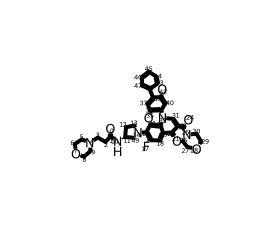 O=C(CCN1CCOCC1)N[C@@H]1CCN(c2c(F)cc3c(=O)c(C(=O)N4CCOCC4)cn4c3c2Oc2cc3c(cc2-4)oc2ccccc23)C1